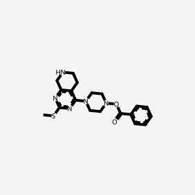 CSc1nc2c(c(N3CCN(OC(=O)c4ccccc4)CC3)n1)CCNC2